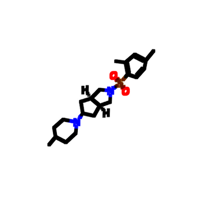 Cc1ccc(S(=O)(=O)N2C[C@H]3C[C@@H](N4CCC(C)CC4)C[C@H]3C2)c(C)c1